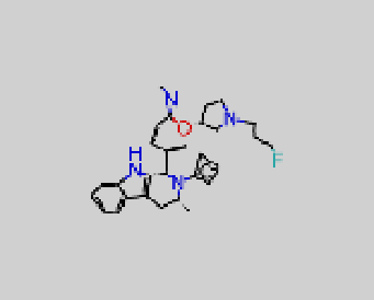 C=C(/C=C\C(=N/C)O[C@@H]1CCN(CCCF)C1)[C@@H]1c2[nH]c3ccccc3c2C[C@@H](C)N1C12CC(C1)C2